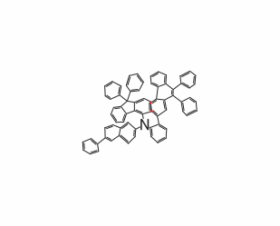 c1ccc(-c2ccc3cc(N(c4ccccc4-c4ccc5c(c4)c(-c4ccccc4)c(-c4ccccc4)c4ccccc45)c4cccc5c4-c4ccccc4C5(c4ccccc4)c4ccccc4)ccc3c2)cc1